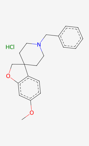 COc1ccc2c(c1)OCC21CCN(Cc2ccccc2)CC1.Cl